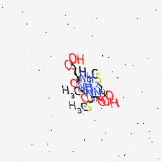 CSCC[C@H](NC(=O)[C@H](CCSC)NC(=O)[C@H](C)NC(=O)[C@@H](N)CCC(=O)O)C(=O)O